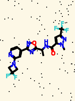 CC(NC(=O)c1cc(C(F)(F)F)nn1C)c1nc(-c2ccnc(N3CC(F)(F)C3)c2)no1